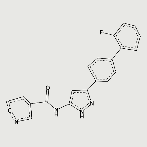 O=C(Nc1cc(-c2ccc(-c3ccccc3F)cc2)n[nH]1)c1cccnc1